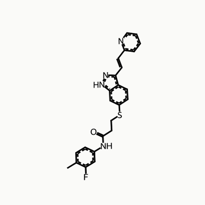 Cc1ccc(NC(=O)CCSc2ccc3c(/C=C/c4ccccn4)n[nH]c3c2)cc1F